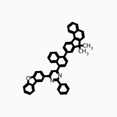 CC1(C)c2cc(-c3ccc(-c4cc(-c5ccc6oc7ccccc7c6c5)nc(-c5ccccc5)n4)c4ccccc34)ccc2-c2c1ccc1ccccc21